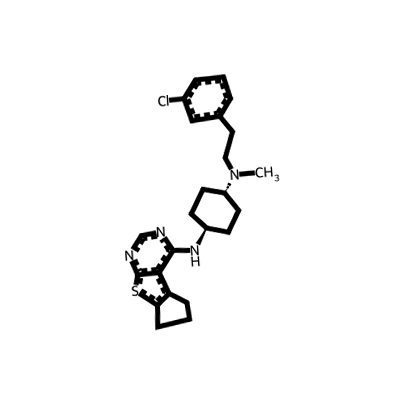 CN(CCc1cccc(Cl)c1)[C@H]1CC[C@H](Nc2ncnc3sc4c(c23)CCC4)CC1